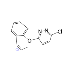 C/C=C\c1ccccc1Oc1ccc(Cl)nn1